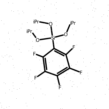 CC(C)O[Si](OC(C)C)(OC(C)C)c1c(F)c(F)c(F)c(F)c1F